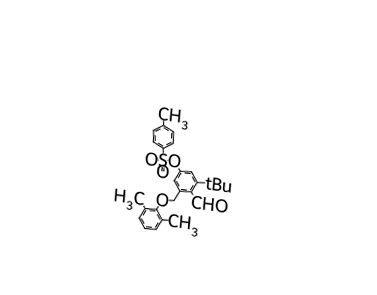 Cc1ccc(S(=O)(=O)Oc2cc(COc3c(C)cccc3C)c(C=O)c(C(C)(C)C)c2)cc1